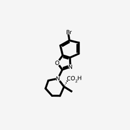 C[C@@]1(C(=O)O)CCCCN1c1nc2ccc(Br)cc2o1